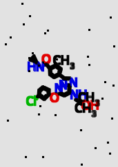 Cc1cc(-c2cnc3c(NCC(C)(C)O)cc(Oc4cccc(Cl)c4)nn23)ccc1C(=O)NC1CC1